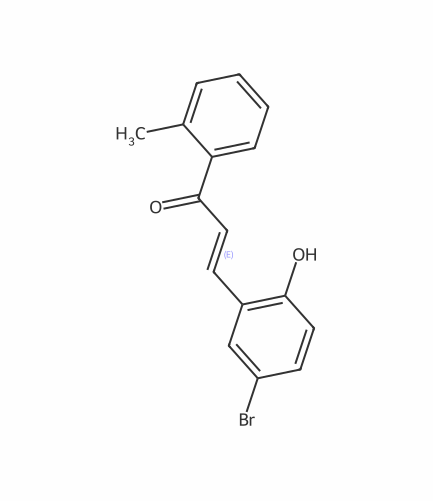 Cc1ccccc1C(=O)/C=C/c1cc(Br)ccc1O